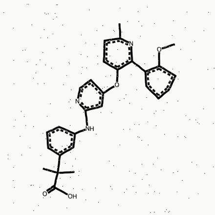 COc1ccccc1-c1nc(C)ccc1Oc1ccnc(Nc2cccc(C(C)(C)C(=O)O)c2)c1